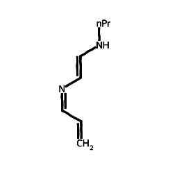 C=C/C=N\C=C\NCCC